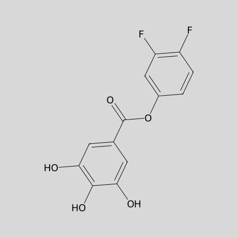 O=C(Oc1ccc(F)c(F)c1)c1cc(O)c(O)c(O)c1